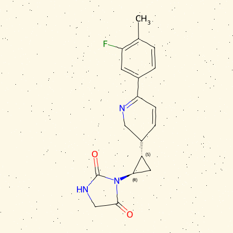 Cc1ccc(C2=NCC([C@@H]3C[C@H]3N3C(=O)CNC3=O)C=C2)cc1F